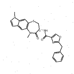 CN1C(=O)[C@@H](NC(=O)c2coc(Cc3ccccc3)n2)CSc2cc3c(ccn3C)cc21